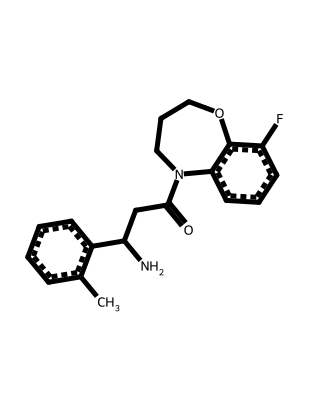 Cc1ccccc1C(N)CC(=O)N1CCCOc2c(F)cccc21